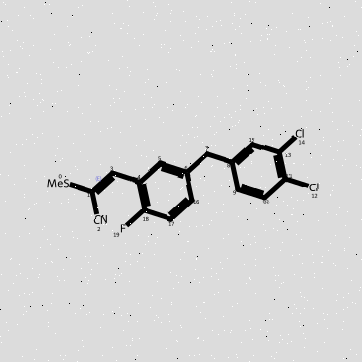 CS/C(C#N)=C/c1cc(Cc2ccc(Cl)c(Cl)c2)ccc1F